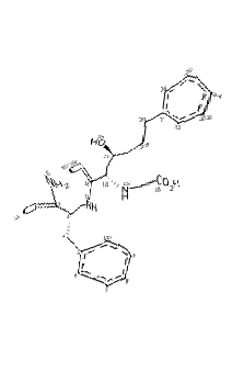 NC(=O)[C@@H](Cc1ccccc1)NC(=O)[C@@H](NC(=O)O)[C@@H](O)CCc1ccccc1